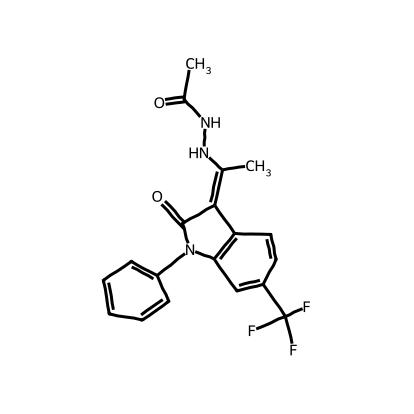 CC(=O)NN/C(C)=C1\C(=O)N(c2ccccc2)c2cc(C(F)(F)F)ccc21